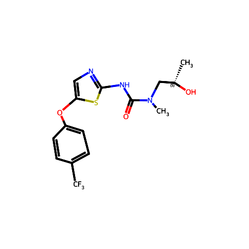 C[C@H](O)CN(C)C(=O)Nc1ncc(Oc2ccc(C(F)(F)F)cc2)s1